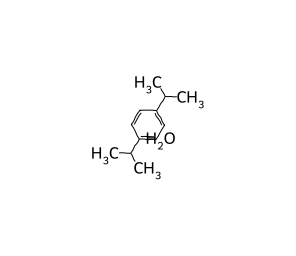 CC(C)c1ccc(C(C)C)cc1.O